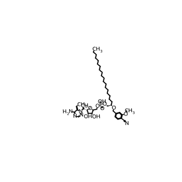 C=C([C@@H]1OC(COP(=O)(O)OC[C@@H](CCCCCCCCCCCCCCCCCCC)OCc2ccc(C#N)c(OC)c2)[C@@H](O)[C@H]1O)N1N=CN=C(N)/C1=C/C